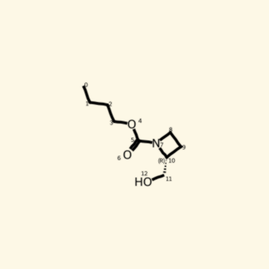 CCCCOC(=O)N1CC[C@@H]1CO